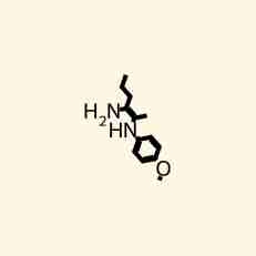 CCC/C(N)=C(\C)Nc1ccc(OC)cc1